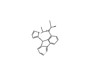 C[CH](C)[Hf]([c]1cccc2c1C(C1=CC=CC1)c1ccccc1-2)[CH](C)C